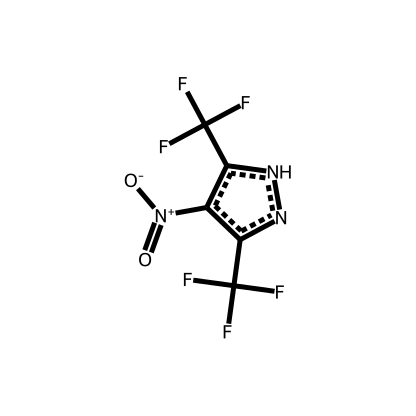 O=[N+]([O-])c1c(C(F)(F)F)n[nH]c1C(F)(F)F